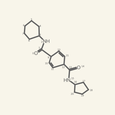 O=C(NC1CCCCC1)C1C=CC(C(=O)NC2CCCC2)C=C1